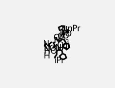 CCCC(=O)N1CCCCN1C(=O)OC(Cc1ccccc1)C(=O)N(C)[C@@H](Cc1c[nH]cn1)C(=O)NC(CC1CCCCC1)C(O)CCC(C)C